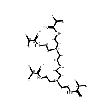 C=C(NCCN(CCNC(=O)C(C)C)CCOCCN(CCNC(=O)C(C)C)CCNC(=O)C(C)C)C(C)C